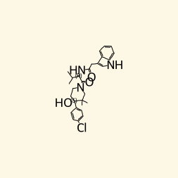 CC(C)[C@@H](NC(=O)Cc1c[nH]c2ccccc12)C(=O)N1CC[C@](O)(c2ccc(Cl)cc2)C(C)(C)C1